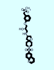 CS(=O)(=O)Cc1cccc(OC[C@@H](O)CN[C@H]2COC3(CCN(S(=O)(=O)c4ccc5ncccc5c4)CC3)C2)c1